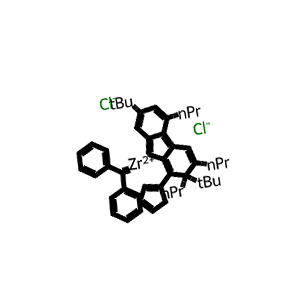 CCCC1=CC2=c3c(CCC)cc(C(C)(C)C)cc3=[C]([Zr+2]=[C](c3ccccc3)c3ccccc3)C2=C(C2=CC=CC2)C1(CCC)C(C)(C)C.[Cl-].[Cl-]